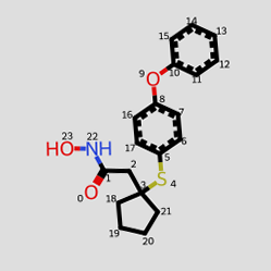 O=C(CC1(Sc2ccc(Oc3ccccc3)cc2)CCCC1)NO